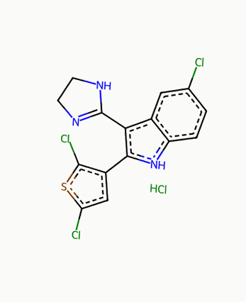 Cl.Clc1ccc2[nH]c(-c3cc(Cl)sc3Cl)c(C3=NCCN3)c2c1